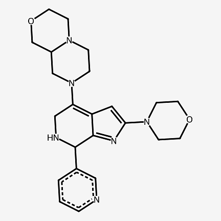 C1=C(N2CCOCC2)N=C2C1=C(N1CCN3CCOCC3C1)CNC2c1cccnc1